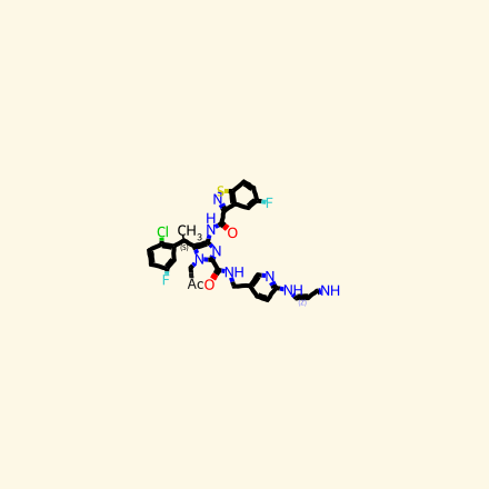 CC(=O)Cn1c(C(=O)NCc2ccc(N/C=C\C=N)nc2)nc(NC(=O)c2nsc3ccc(F)cc23)c1[C@@H](C)c1cc(F)ccc1Cl